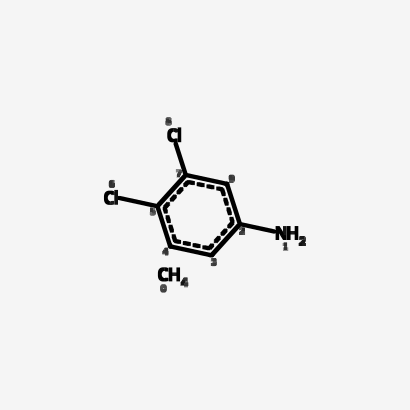 C.Nc1ccc(Cl)c(Cl)c1